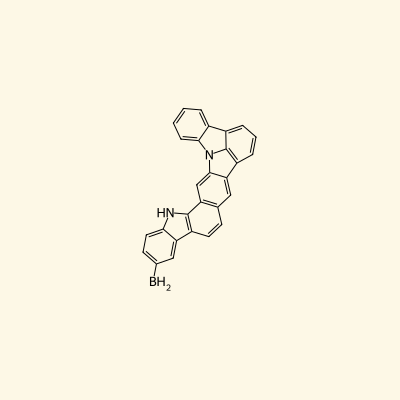 Bc1ccc2[nH]c3c4cc5c(cc4ccc3c2c1)c1cccc2c3ccccc3n5c21